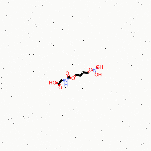 O=C(O)CNC(=O)OCCCCON(O)O